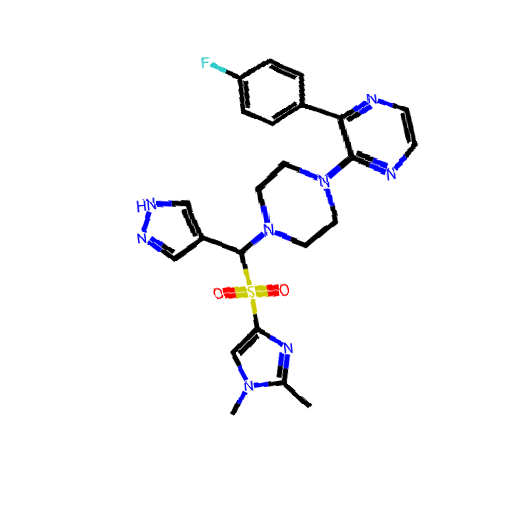 Cc1nc(S(=O)(=O)C(c2cn[nH]c2)N2CCN(c3nccnc3-c3ccc(F)cc3)CC2)cn1C